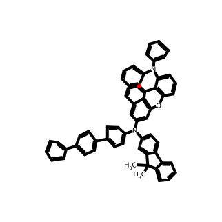 CC1(C)c2ccccc2-c2ccc(N(c3ccc(-c4ccc(-c5ccccc5)cc4)cc3)c3cc4c5c(cccc5c3)-c3c(cccc3N(c3ccccc3)c3ccccc3)O4)cc21